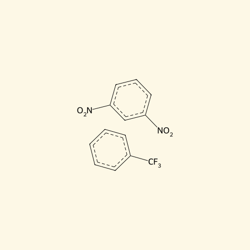 FC(F)(F)c1ccccc1.O=[N+]([O-])c1cccc([N+](=O)[O-])c1